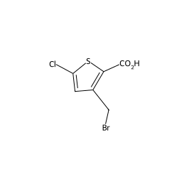 O=C(O)c1sc(Cl)cc1CBr